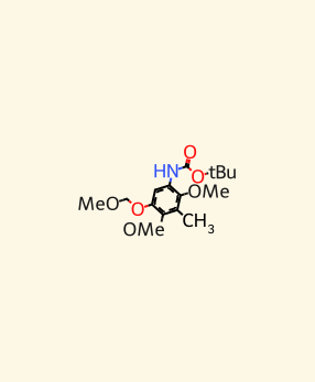 COCOc1cc(NC(=O)OC(C)(C)C)c(OC)c(C)c1OC